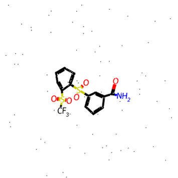 NC(=O)c1cccc(S(=O)(=O)c2ccccc2S(=O)(=O)C(F)(F)F)c1